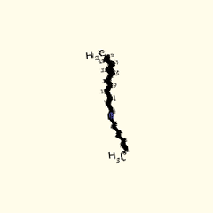 CCCCCCCC/C=C/CCCCCCCCCCC